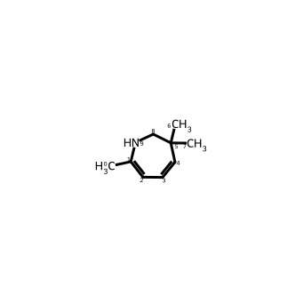 CC1=CC=CC(C)(C)CN1